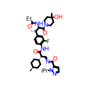 CCC(=O)N[C@@H](C(=O)N1CCC(C)(O)CC1)[C@@H](C)c1ccc(NC(=O)C(C=NC(=O)c2ccnn2C(C)C)[C@H]2CC[C@H](C)CC2)c(F)c1